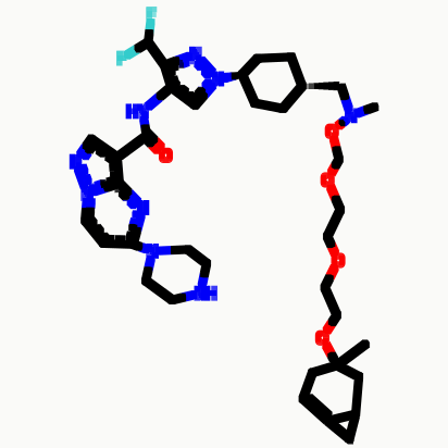 CN(C[C@H]1CC[C@H](n2cc(NC(=O)c3cnn4ccc(N5CCNCC5)nc34)c(C(F)F)n2)CC1)OCOCCOCCOC1(C)CC=C2CC2C1